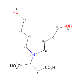 O=C(O)CC(C(=O)O)N(CCCCO)CCCCO